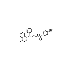 C[C@@H]1CC[C@@H]([C@@H](CCCOC(=O)c2ccc(Br)cc2)c2ccccc2)c2ccccc21